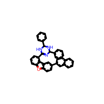 c1ccc(C2N=C(c3cccc4oc5ccc(-c6ccc7ccccc7c6)cc5c34)NC(c3ccccc3)N2)cc1